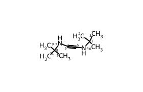 CC(C)(C)NC#CNC(C)(C)C